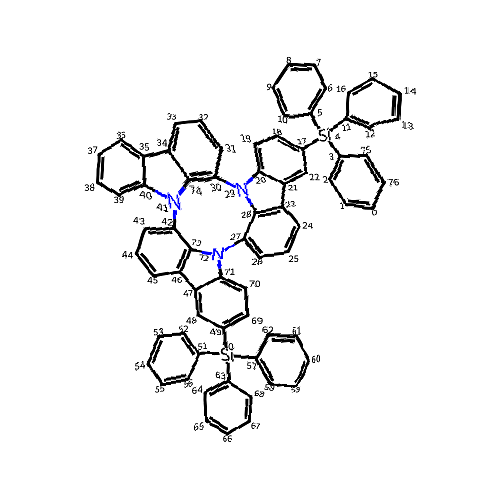 c1ccc([Si](c2ccccc2)(c2ccccc2)c2ccc3c(c2)c2cccc4c2n3c2cccc3c5ccccc5n(c5cccc6c7cc([Si](c8ccccc8)(c8ccccc8)c8ccccc8)ccc7n4c65)c32)cc1